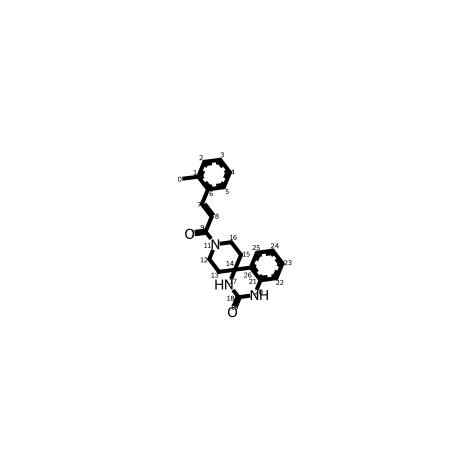 Cc1ccccc1/C=C/C(=O)N1CCC2(CC1)NC(=O)Nc1ccccc12